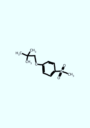 CC(C)(C)COc1ccc(S(C)(=O)=O)cc1